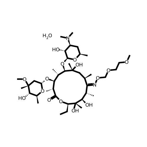 CC[C@H]1OC(=O)[C@H](C)[C@@H](O[C@H]2C[C@@](C)(OC)[C@@H](O)[C@H](C)O2)[C@H](C)[C@@H](O[C@@H]2O[C@H](C)C[C@H](N(C)C)[C@H]2O)[C@](C)(O)C[C@@H](C)/C(=N\OCOCCOC)[C@H](C)[C@@H](O)[C@]1(C)O.O